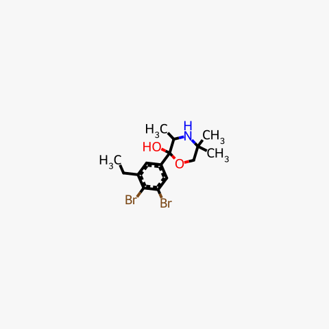 CCc1cc(C2(O)OCC(C)(C)NC2C)cc(Br)c1Br